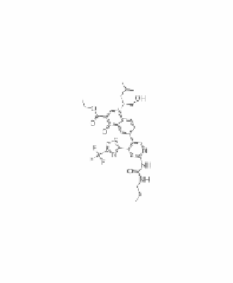 CCCNC(=O)Nc1cc(-c2nc(C(F)(F)F)cs2)c(-c2ccc3c(c2)c(=O)c(C(=O)OCC)cn3[C@H](CO)CC(C)C)cn1